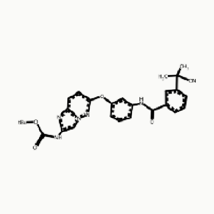 CC(C)(C)OC(=O)Nc1cn2nc(Oc3cccc(NC(=O)c4cccc(C(C)(C)C#N)c4)c3)ccc2n1